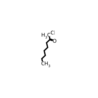 CCCCCCC(C)=O.[C]